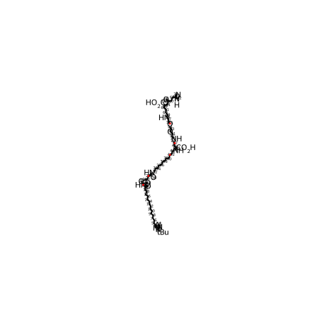 CC(C)(C)n1nnc(CCCCCCCCCCCCCCCC(=O)NS(=O)(=O)CCCC(=O)NCCCCCCCCCCCCN[C@@H](CCCNCCOCCOCCNCCCC[C@H](CC(=O)CCc2cnc[nH]2)C(=O)O)C(=O)O)n1